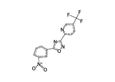 O=[N+]([O-])c1cccc(-c2nc(-c3ccc(C(F)(F)F)cn3)no2)c1